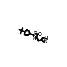 Cn1cc(/C=C2/N=C(c3ccc(C(C)(C)C)cc3)OC2=O)cn1